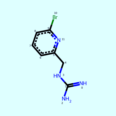 N=C(N)NCc1cccc(Br)n1